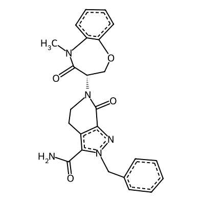 CN1C(=O)[C@@H](N2CCc3c(nn(Cc4ccccc4)c3C(N)=O)C2=O)COc2ccccc21